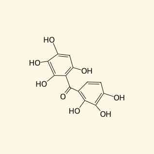 O=C(c1ccc(O)c(O)c1O)c1c(O)cc(O)c(O)c1O